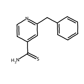 NC(=S)c1ccnc(Cc2ccccc2)c1